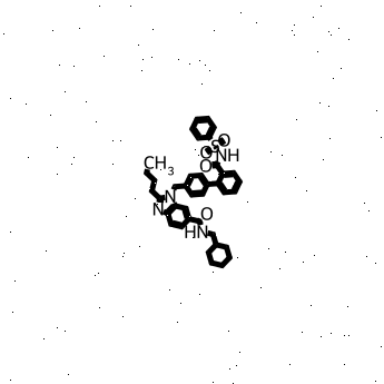 CCCCc1nc2ccc(C(=O)NCC3CCCCC3)cc2n1Cc1ccc(-c2ccccc2C(=O)NS(=O)(=O)c2ccccc2)cc1